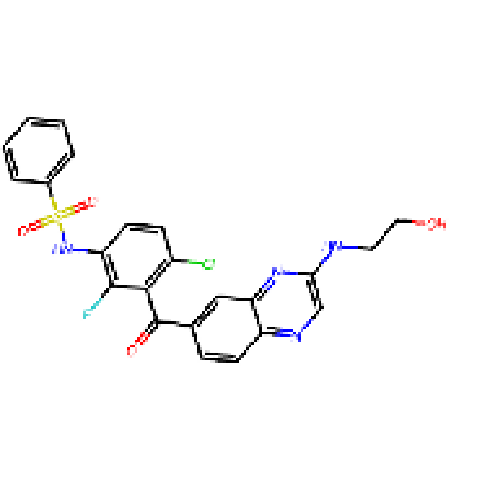 O=C(c1ccc2ncc(NCCO)nc2c1)c1c(Cl)ccc(NS(=O)(=O)c2ccccc2)c1F